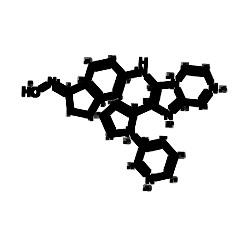 ON=C1CCc2cc(Nc3c(-c4cccn4-c4cccnc4)nc4cnccn34)ccc21